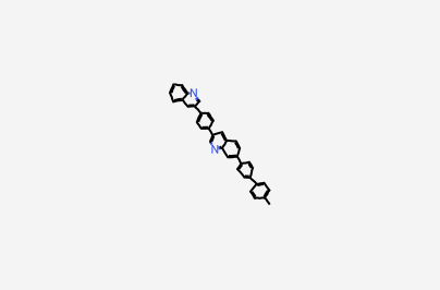 Cc1ccc(-c2ccc(-c3ccc4cc(-c5ccc(-c6cnc7ccccc7c6)cc5)cnc4c3)cc2)cc1